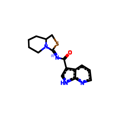 O=C(/N=C1\SCC2CCCCN12)c1c[nH]c2ncccc12